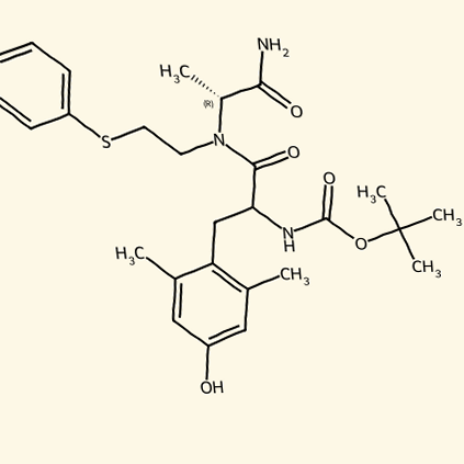 Cc1cc(O)cc(C)c1CC(NC(=O)OC(C)(C)C)C(=O)N(CCSc1ccccc1)[C@H](C)C(N)=O